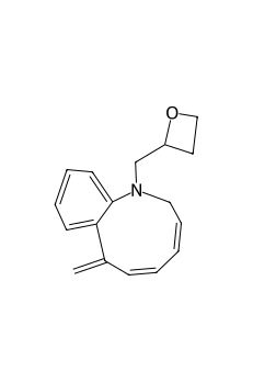 C=C1/C=C\C=C/CN(CC2CCO2)c2ccccc21